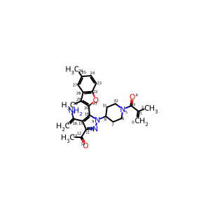 C=C(C)C(=O)N1CCC(n2nc(C(C)=O)c(C(=C)N)c2-c2oc3ccc(C)cc3c2C)CC1